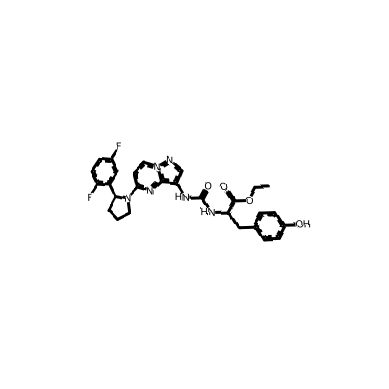 CCOC(=O)C(Cc1ccc(O)cc1)NC(=O)Nc1cnn2ccc(N3CCCC3c3cc(F)ccc3F)nc12